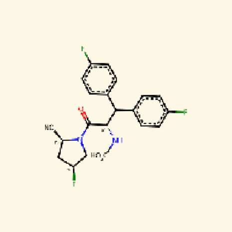 N#C[C@@H]1C[C@H](F)CN1C(=O)[C@@H](NC(=O)O)C(c1ccc(F)cc1)c1ccc(F)cc1